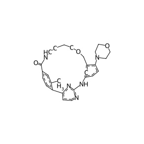 Cc1cc2ccc1-c1ccnc(n1)Nc1ccc(N3CCOCC3)c(c1)COCCCCNC2=O